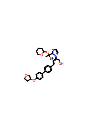 CC([SiH3])(OC1CCCCO1)C1=NC=C/[N+]1=C(/C=C/c1ccc(-c2ccc(O[C@H]3CCOC3)cc2)cc1)CO